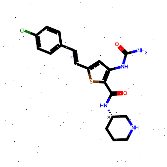 NC(=O)Nc1cc(/C=C/c2ccc(Cl)cc2)sc1C(=O)N[C@H]1CCCNC1